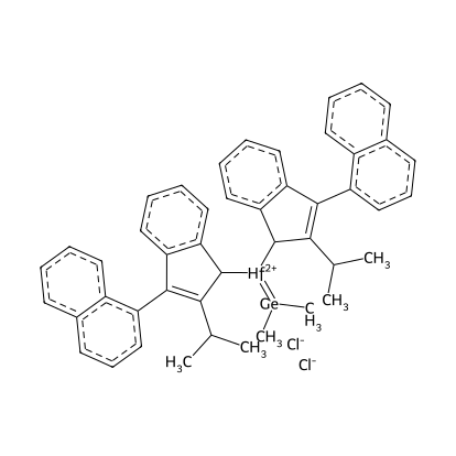 CC(C)C1=C(c2cccc3ccccc23)c2ccccc2[CH]1[Hf+2]([CH]1C(C(C)C)=C(c2cccc3ccccc23)c2ccccc21)=[Ge]([CH3])[CH3].[Cl-].[Cl-]